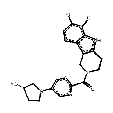 O=C(c1ncc(N2CC[C@H](O)C2)cn1)N1CCc2[nH]c3c(Cl)c(Cl)ccc3c2C1